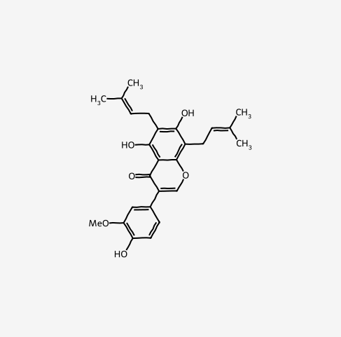 COc1cc(-c2coc3c(CC=C(C)C)c(O)c(CC=C(C)C)c(O)c3c2=O)ccc1O